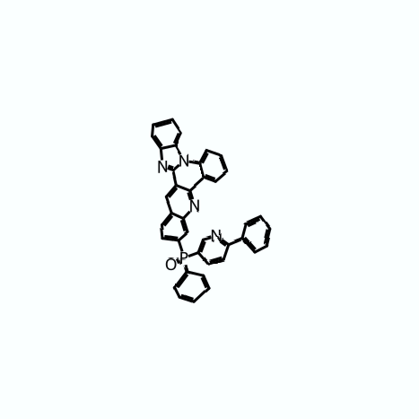 O=P(c1ccccc1)(c1ccc(-c2ccccc2)nc1)c1ccc2cc3c(nc2c1)c1ccccc1n1c2ccccc2nc31